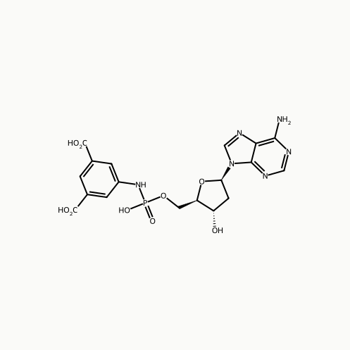 Nc1ncnc2c1ncn2[C@H]1C[C@H](O)[C@@H](COP(=O)(O)Nc2cc(C(=O)O)cc(C(=O)O)c2)O1